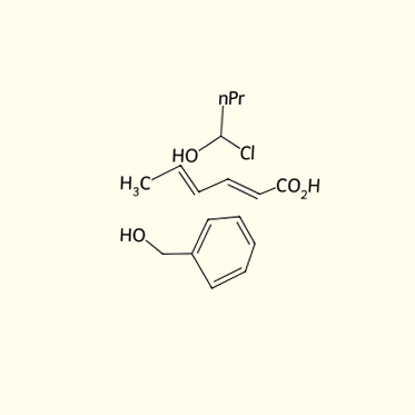 C/C=C/C=C/C(=O)O.CCCC(O)Cl.OCc1ccccc1